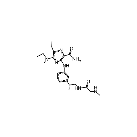 CCc1nc(C(N)=O)c(Nc2cccc([C@@H](C)CNC(=O)CNC)c2)nc1N(C)CC